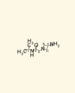 CC(C)NC(=O)CN1CC(N)C1